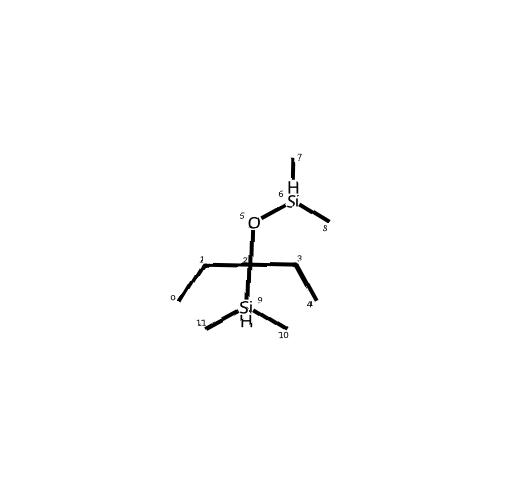 CCC(CC)(O[SiH](C)C)[SiH](C)C